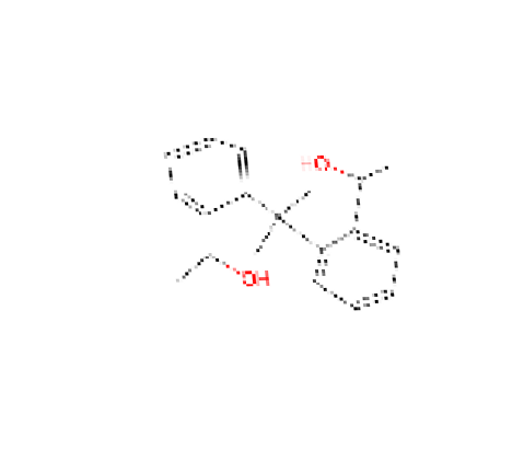 CC(O)c1ccccc1C(C)(C)c1ccccc1C(C)O